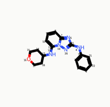 c1ccc(Nc2nc3cccc(NC4CCOCC4)n3n2)cc1